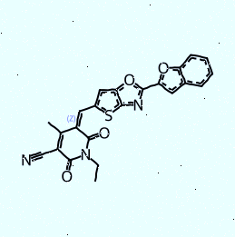 CCN1C(=O)C(C#N)=C(C)/C(=C/c2cc3oc(-c4cc5ccccc5o4)nc3s2)C1=O